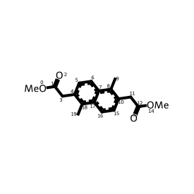 COC(=O)Cc1ccc2c(C)c(CC(=O)OC)ccc2c1C